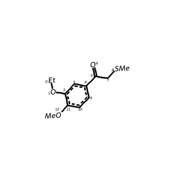 CCOc1cc(C(=O)CSC)ccc1OC